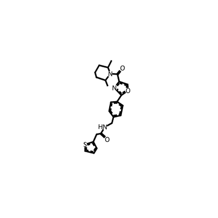 CC1CCCC(C)N1C(=O)c1coc(-c2ccc(CNC(=O)Cc3cccs3)cc2)n1